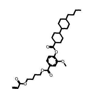 C=CC(=O)OCCCCOC(=O)c1ccc(OC(=O)C2CCC(C3CCC(CCCC)CC3)CC2)c(OC)c1